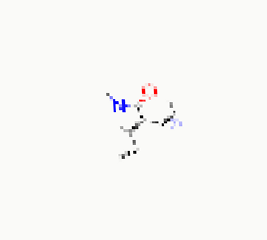 C=CC1=C(/C=C\C)C(=O)N(C)C1